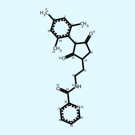 Cc1cc(C)c(C2C(=O)CC(CCNC(=O)c3ccccn3)C2=O)c(C)c1